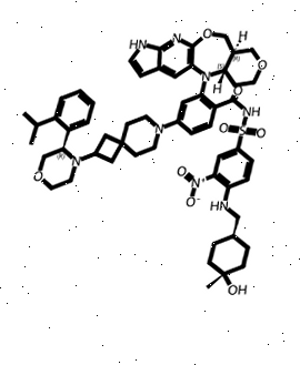 CC(C)c1ccccc1[C@@H]1COCCN1C1CC2(CCN(c3ccc(C(=O)NS(=O)(=O)c4ccc(NC[C@H]5CC[C@](C)(O)CC5)c([N+](=O)[O-])c4)c(N4c5cc6cc[nH]c6nc5OC[C@H]5COCC[C@@H]54)c3)CC2)C1